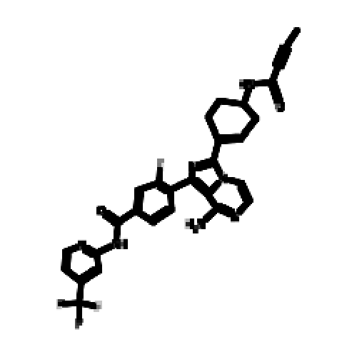 CC#CC(=O)NC1CC=C(c2nc(-c3ccc(C(=O)Nc4cc(C(F)(F)F)ccn4)cc3F)c3c(N)nccn23)CC1